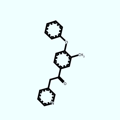 Cc1cc(C(=O)Cc2cccnc2)ccc1Oc1ccccc1